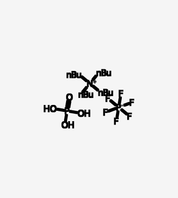 CCCC[N+](CCCC)(CCCC)CCCC.F[P-](F)(F)(F)(F)F.O=P(O)(O)O